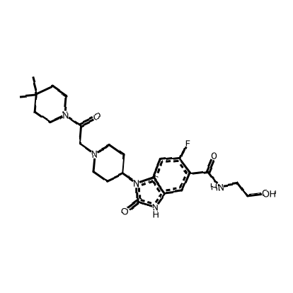 CC1(C)CCN(C(=O)CN2CCC(n3c(=O)[nH]c4cc(C(=O)NCCO)c(F)cc43)CC2)CC1